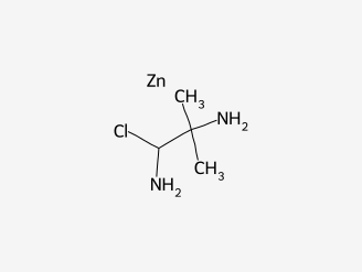 CC(C)(N)C(N)Cl.[Zn]